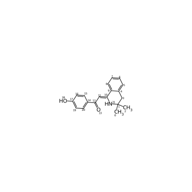 CC1(C)Cc2ccccc2C(=CC(=O)c2ccc(O)cc2)N1